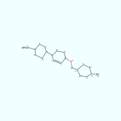 CCCCCC1CCC(C2C=CC(OCC3CCC(CC)CC3)CC2)CC1